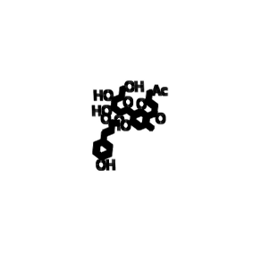 CC(=O)Cc1cc(=O)c2c(C)cc(O)c(C3OC(CO)C(O)C(O)C3OC(=O)/C=C/c3ccc(O)cc3)c2o1